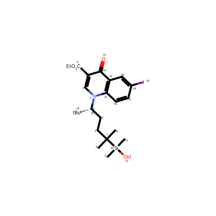 CCOC(=O)c1cn([C@H](CCC(C)(C)[Si](C)(C)O)C(C)(C)C)c2ccc(I)cc2c1=O